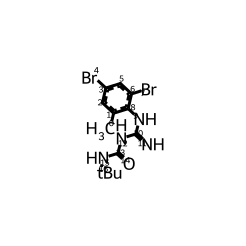 Cc1cc(Br)cc(Br)c1NC(=N)NC(=O)NC(C)(C)C